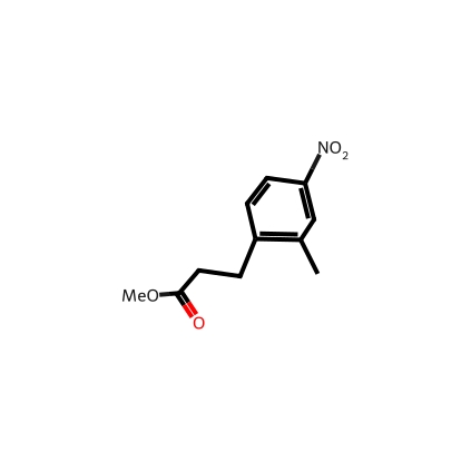 COC(=O)CCc1ccc([N+](=O)[O-])cc1C